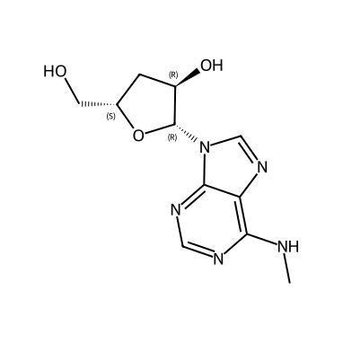 CNc1ncnc2c1ncn2[C@@H]1O[C@H](CO)C[C@H]1O